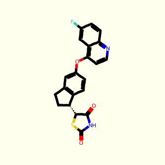 O=C1NC(=O)C([C@@H]2CCc3cc(Oc4ccnc5ccc(F)cc45)ccc32)S1